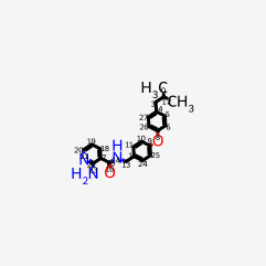 CC(C)Cc1ccc(Oc2ccc(CNC(=O)c3cccnc3N)cc2)cc1